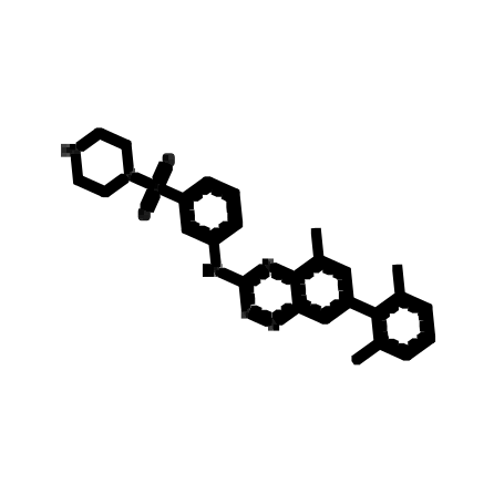 Cc1cccc(C)c1-c1cc(C)c2nc(Nc3cccc(S(=O)(=O)N4CCNCC4)c3)nnc2c1